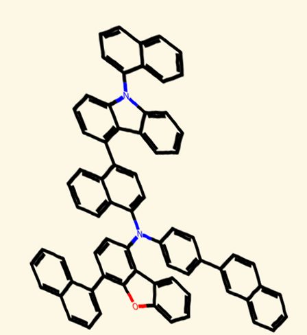 c1ccc2cc(-c3ccc(N(c4ccc(-c5cccc6c5c5ccccc5n6-c5cccc6ccccc56)c5ccccc45)c4ccc(-c5cccc6ccccc56)c5oc6ccccc6c45)cc3)ccc2c1